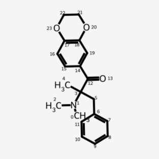 CN(C)C(C)(Cc1ccccc1)C(=O)c1ccc2c(c1)OCCO2